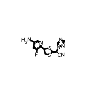 N#CC(=C1SCC(c2ncc(N)cc2F)S1)n1cncn1